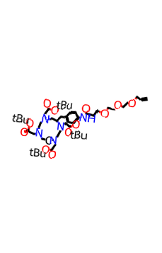 C#CCOCCOCCOCCC(=O)Nc1ccc(CC2CN(CC(=O)OC(C)(C)C)CCN(CC(=O)OC(C)(C)C)CCN(CC(=O)OC(C)(C)C)CCN2CC(=O)OC(C)(C)C)cc1